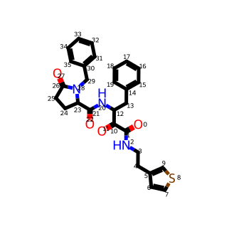 O=C(NCCc1ccsc1)C(=O)C(Cc1ccccc1)NC(=O)C1CCC(=O)N1Cc1ccccc1